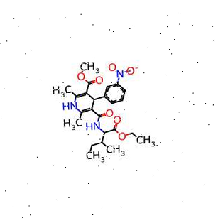 CCOC(=O)C(NC(=O)C1=C(C)NC(C)=C(C(=O)OC)C1c1cccc([N+](=O)[O-])c1)C(C)CC